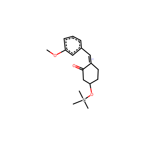 COc1cccc(/C=C2/CCC(O[Si](C)(C)C)CC2=O)c1